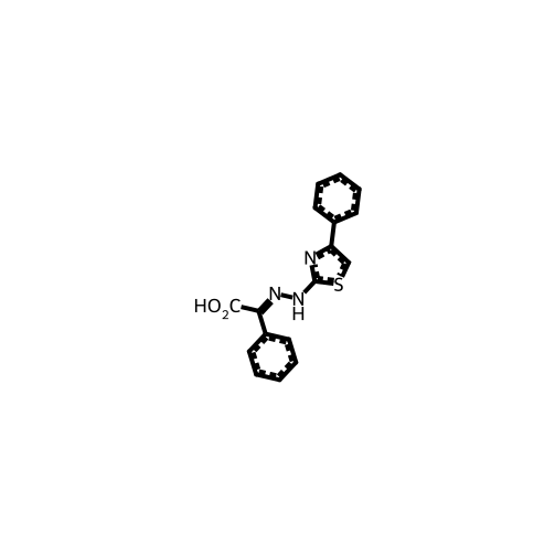 O=C(O)/C(=N/Nc1nc(-c2ccccc2)cs1)c1ccccc1